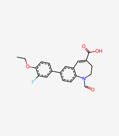 CCOc1ccc(-c2ccc3c(c2)C=C(C(=O)O)CCN3C=O)cc1F